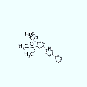 CCC1(CC)OC(CC)(CC)c2cc(-c3ccc(-c4ccccc4)cn3)ccc21